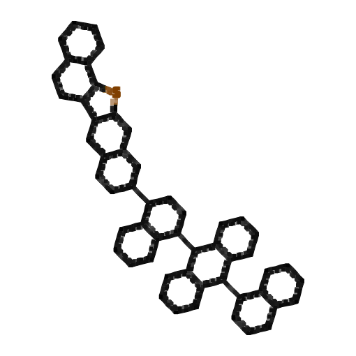 c1ccc2c(-c3c4ccccc4c(-c4ccc(-c5ccc6cc7c(cc6c5)sc5c6ccccc6ccc75)c5ccccc45)c4ccccc34)cccc2c1